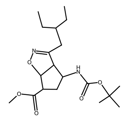 CCC(CC)CC1=NOC2C(C(=O)OC)CC(NC(=O)OC(C)(C)C)C12